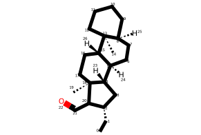 CC[C@H]1C[C@H]2[C@@H]3CC[C@@H]4CCCC[C@]4(C)[C@H]3CC[C@]2(C)C1C=O